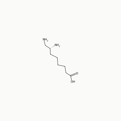 NC[C@H](N)CCCCCC(=O)O